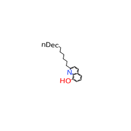 CCCCCCCCCCCCCCCCc1ccc2cccc(O)c2n1